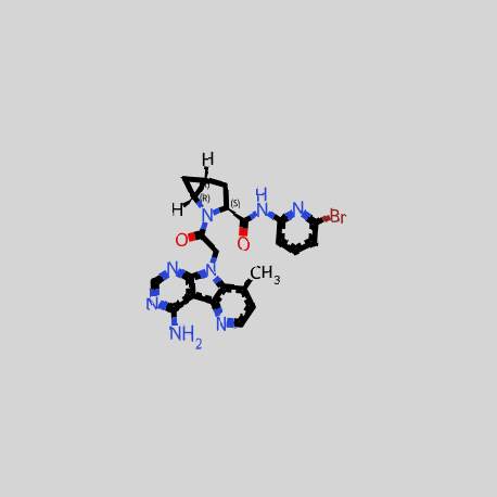 Cc1ccnc2c3c(N)ncnc3n(CC(=O)N3[C@@H]4C[C@@H]4C[C@H]3C(=O)Nc3cccc(Br)n3)c12